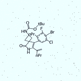 C=C(CCC)C1=C(c2cc(Cl)c(Br)c(F)c2CCC)C2(CC(NC(=O)OC(C)(C)C)C2)C(=O)N1